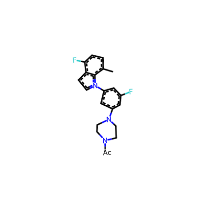 CC(=O)N1CCN(c2cc(F)cc(-n3ccc4c(F)ccc(C)c43)c2)CC1